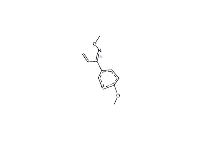 C=C/C(=N\OC)c1ccc(OC)cc1